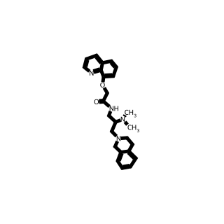 CN(C)C(CNC(=O)COc1cccc2cccnc12)CN1CCc2ccccc2C1